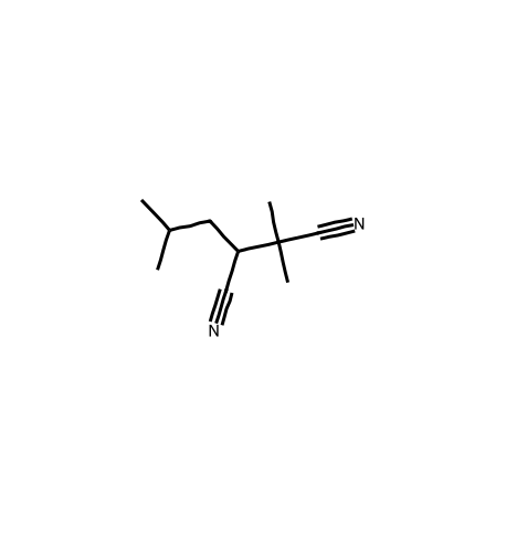 CC(C)CC(C#N)C(C)(C)C#N